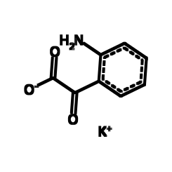 Nc1ccccc1C(=O)C(=O)[O-].[K+]